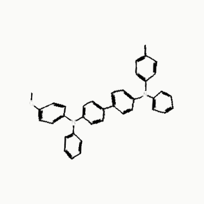 COc1ccc(N(c2ccccc2)c2ccc(-c3ccc(N(c4ccccc4)c4ccc(C)cc4)cc3)cc2)cc1